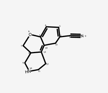 N#CC1=CC=C2OCC3CNCCC3=C2C1